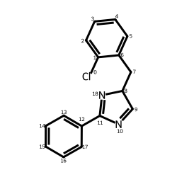 Clc1ccccc1CC1C=NC(c2ccccc2)=N1